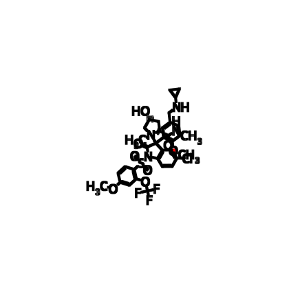 CNC(=O)[C@@H]1C[C@@H](O)C[N+]1(C)C1(c2cc(CNC3CC3)ccc2OC)C(=O)N(S(=O)(=O)c2ccc(OC)cc2OC(F)(F)F)c2ccc(Cl)cc21